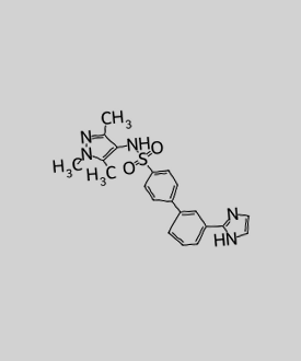 Cc1nn(C)c(C)c1NS(=O)(=O)c1ccc(-c2cccc(-c3ncc[nH]3)c2)cc1